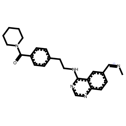 C/N=C\c1ccc2ncnc(NCCc3ccc(C(=O)N4CCCCC4)cc3)c2c1